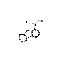 CCCCN(C)c1cccc2c1[CH]c1ccccc1-2